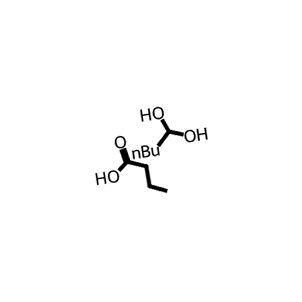 CCCC(=O)O.CCCCC(O)O